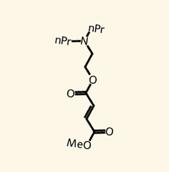 CCCN(CCC)CCOC(=O)/C=C/C(=O)OC